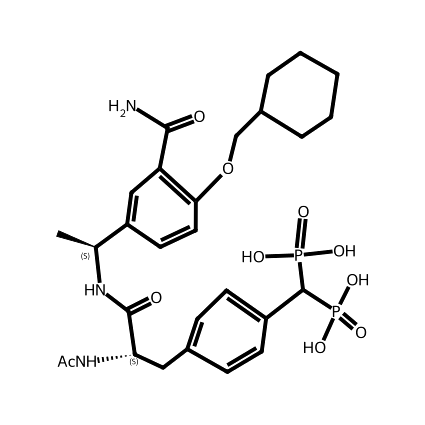 CC(=O)N[C@@H](Cc1ccc(C(P(=O)(O)O)P(=O)(O)O)cc1)C(=O)N[C@@H](C)c1ccc(OCC2CCCCC2)c(C(N)=O)c1